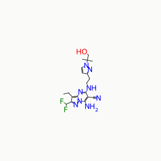 CCc1c(C(F)F)nn2c(N)c(C#N)c(NCCc3ccn(C(C)(C)CO)n3)nc12